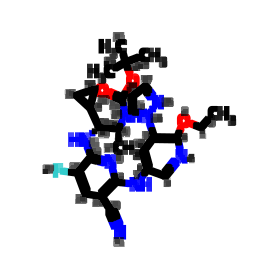 CCOc1ncc(Nc2nc(N[C@H](C3CC3)[C@H](C)NC(=O)OC(C)(C)C)c(F)cc2C#N)cc1-n1cccn1